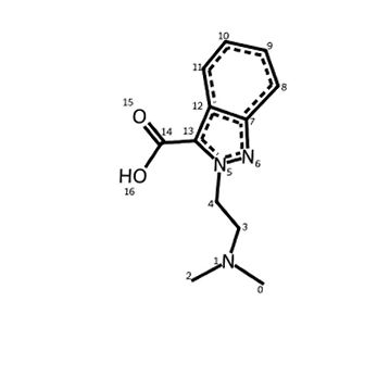 CN(C)CCn1nc2ccccc2c1C(=O)O